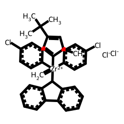 [CH2]=[Zr+2]([C]1=CC(C(C)(C)C)=CC1C)([c]1ccc(Cl)cc1)([c]1ccc(Cl)cc1)[CH]1c2ccccc2-c2ccccc21.[Cl-].[Cl-]